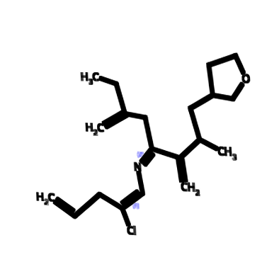 C=CC/C(Cl)=C\N=C(\CC(=C)CC)C(=C)C(C)CC1CCOC1